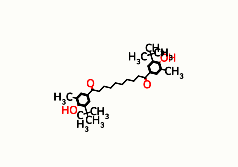 Cc1cc(C(=O)CCCCCCCCC(=O)c2cc(C)c(O)c(C(C)(C)C)c2)cc(C(C)(C)C)c1O